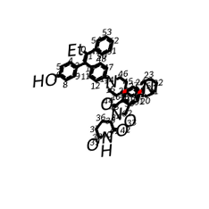 CCC(=C(c1ccc(O)cc1)c1ccc(N2CCC(CN3CC4CC(C3)N4c3ccc4c(c3)C(=O)N(C3CCC(=O)NC3=O)C4=O)CC2)cc1)c1ccccc1